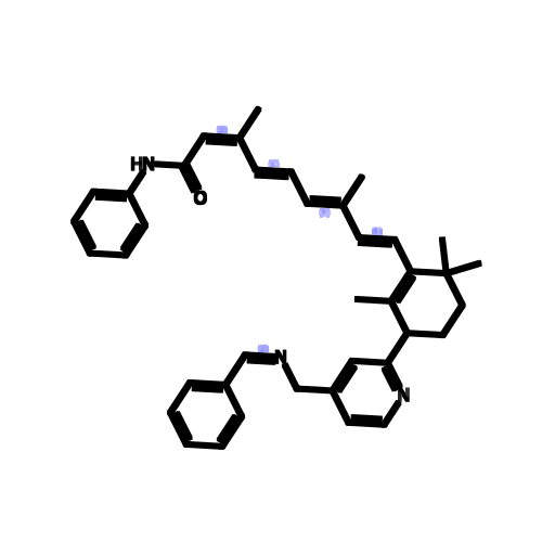 CC1=C(/C=C/C(C)=C/C=C/C(C)=C\C(=O)Nc2ccccc2)C(C)(C)CCC1c1cc(C/N=C\c2ccccc2)ccn1